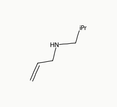 [CH2]C(C)CNCC=C